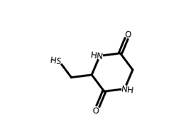 O=C1CNC(=O)C(CS)N1